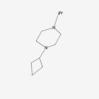 CC(C)N1CCN(C2C[CH]C2)CC1